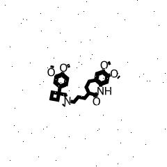 COc1ccc(C2(CN(C)CCCC3CCc4cc(OC)c(OC)cc4NC3=O)CCC2)cc1OC